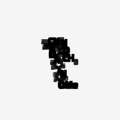 COc1ccc(C2CCN(C(=O)c3c(C)oc4ncnc(NC5(C)CC5)c34)CC2)nc1